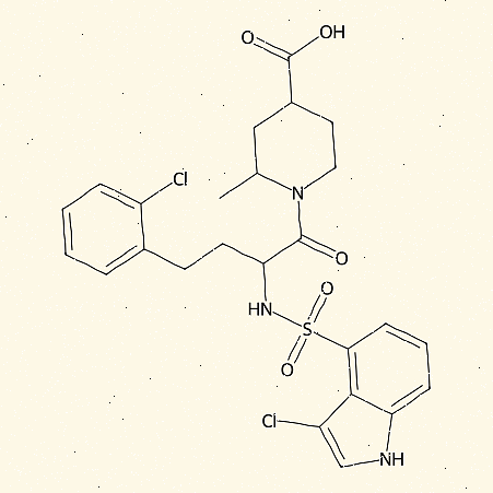 CC1CC(C(=O)O)CCN1C(=O)C(CCc1ccccc1Cl)NS(=O)(=O)c1cccc2[nH]cc(Cl)c12